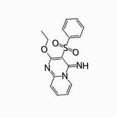 CCOc1nc2ccccn2c(=N)c1S(=O)(=O)c1ccccc1